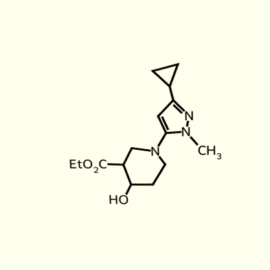 CCOC(=O)C1CN(c2cc(C3CC3)nn2C)CCC1O